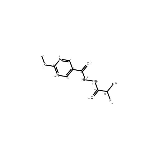 CSc1ncc(C(=O)NNC(=O)C(F)F)cn1